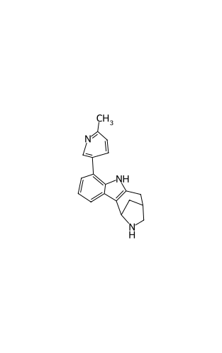 Cc1ccc(-c2cccc3c4c([nH]c23)CC2CNC4C2)cn1